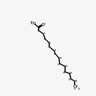 CCC(=O)CCCCCCCCCCCCCCC(F)(F)F